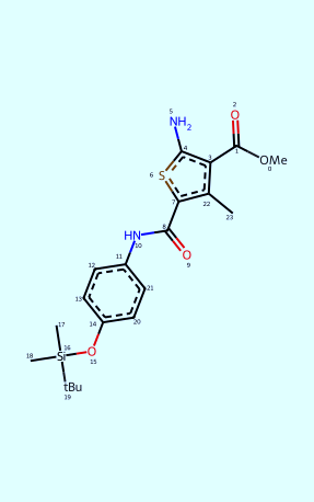 COC(=O)c1c(N)sc(C(=O)Nc2ccc(O[Si](C)(C)C(C)(C)C)cc2)c1C